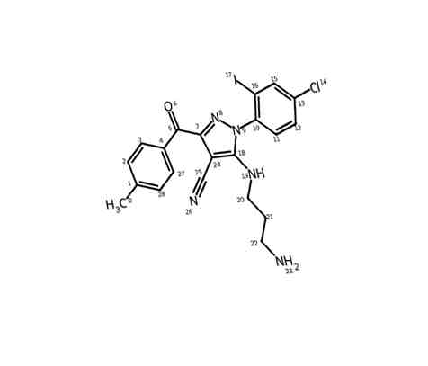 Cc1ccc(C(=O)c2nn(-c3ccc(Cl)cc3I)c(NCCCN)c2C#N)cc1